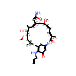 C=CCNC1=C2CC(=CC1=O)NC(=O)/C(C)=C/C=C\[C@H](OC)[C@@H](OC(=C)N)/C(C)=C/C(C)[C@@H](O)[C@@H](OC)C[C@H](C)C2